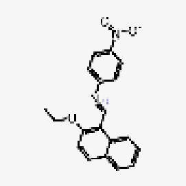 CCOc1ccc2ccccc2c1/C=N/c1ccc([N+](=O)[O-])cc1